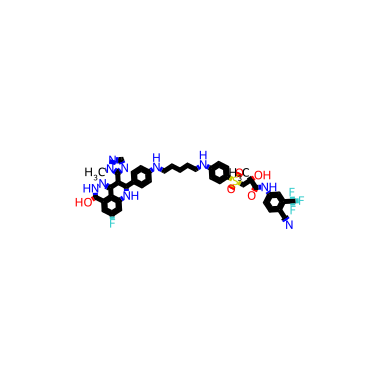 Cn1ncnc1C1C2=NNC(O)c3cc(F)cc(c32)NC1c1ccc(NCCCCCNc2ccc(S(=O)(=O)CC(C)(O)C(=O)Nc3ccc(C#N)c(C(F)(F)F)c3)cc2)cc1